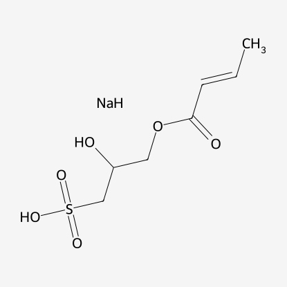 CC=CC(=O)OCC(O)CS(=O)(=O)O.[NaH]